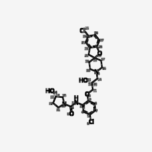 O=C(Nc1cc(Cl)ccc1OC[C@H](O)CN1CCC2(CC1)Cc1cc(Cl)ccc1O2)N1CC[C@H](O)C1